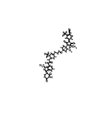 Cn1nc(C2CCC(=O)NC2=O)c2cccc(NC(=O)CN3CCN(CCCO[C@H]4CC[C@H](N5C(=S)N(c6cnc(C#N)c(C(F)(F)F)c6)C(=O)C5(C)C)CC4)C[C@@H]3C(F)(F)F)c21